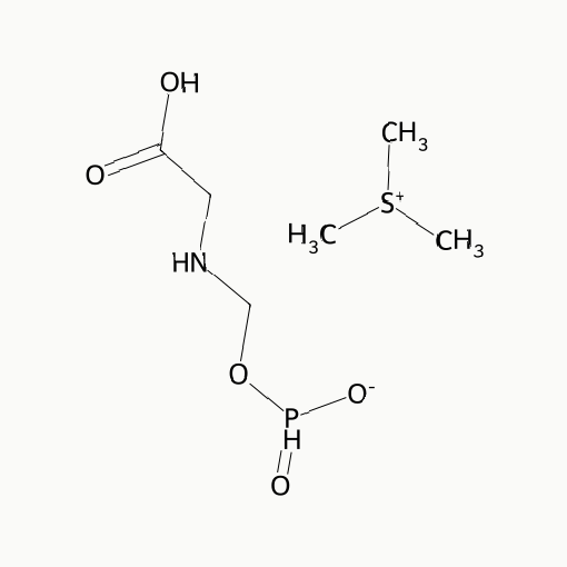 C[S+](C)C.O=C(O)CNCO[PH](=O)[O-]